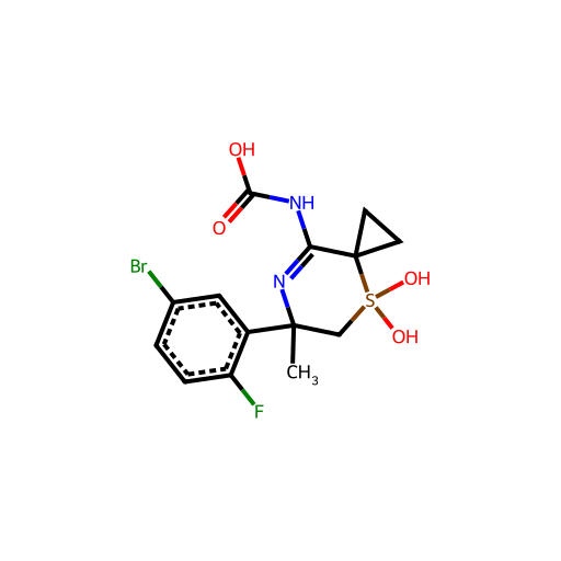 CC1(c2cc(Br)ccc2F)CS(O)(O)C2(CC2)C(NC(=O)O)=N1